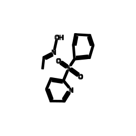 C/C=N/O.O=S(=O)(c1ccccc1)c1ccccn1